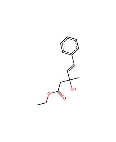 CCOC(=O)CC(C)(O)/C=C/c1ccccc1